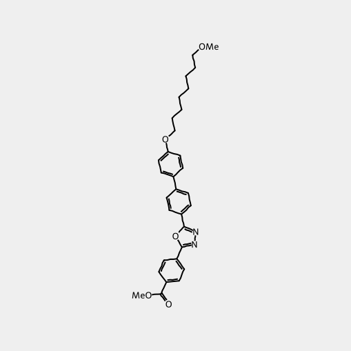 COCCCCCCCCOc1ccc(-c2ccc(-c3nnc(-c4ccc(C(=O)OC)cc4)o3)cc2)cc1